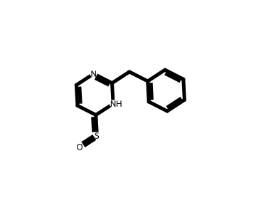 O=S=c1ccnc(Cc2ccccc2)[nH]1